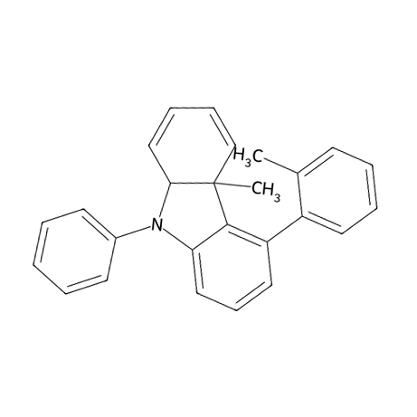 Cc1ccccc1-c1cccc2c1C1(C)C=CC=CC1N2c1ccccc1